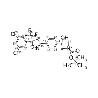 CC(C)(C)OC(=O)N1CC(O)(c2ccc(C3=NO[C@](c4cc(Cl)cc(Cl)c4)(C(F)(F)F)C3)cc2)C1